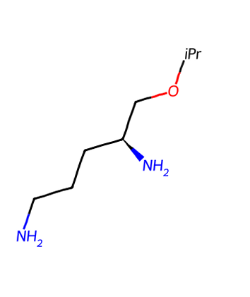 CC(C)OC[C@@H](N)CCCN